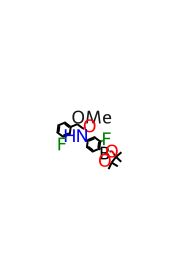 COC(C(=O)Nc1ccc(B2OC(C)(C)C(C)(C)O2)c(F)c1)c1cccc(F)c1